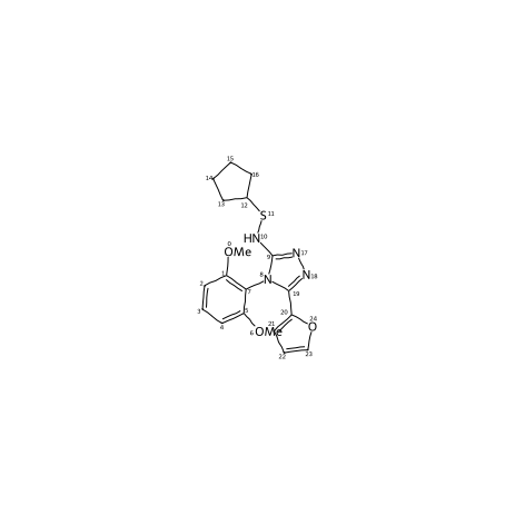 COc1cccc(OC)c1-n1c(NSC2CCCC2)nnc1-c1ccco1